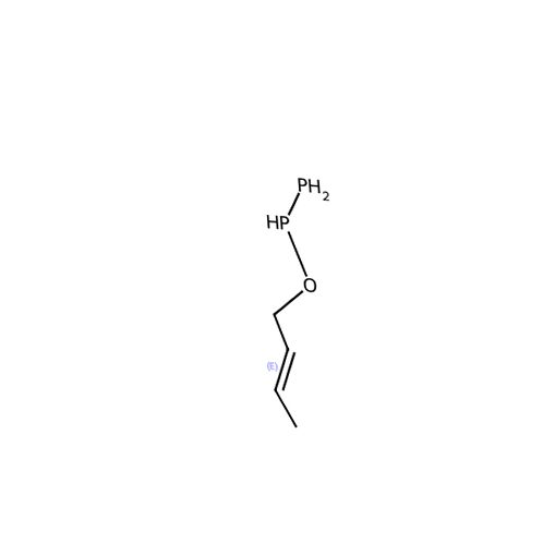 C/C=C/COPP